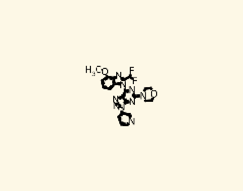 COc1cccc2c1nc(C(F)F)n2-c1nc(N2CCOCC2)nc2c1nnn2-c1cccnc1